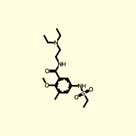 CCN(CC)CCNC(=O)c1cc(NS(=O)(=O)CC)cc(C)c1OC